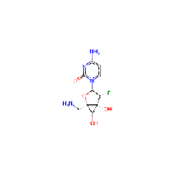 NC[C@]12O[C@@H](n3ccc(N)nc3=O)[C@H](F)[C@@]1(O)C2O